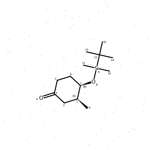 C[C@H]1CC(=O)CC[C@H]1O[Si](C)(C)C(C)(C)C